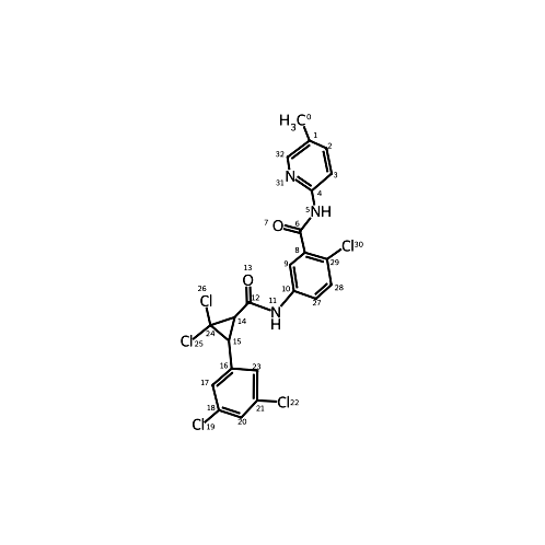 Cc1ccc(NC(=O)c2cc(NC(=O)C3C(c4cc(Cl)cc(Cl)c4)C3(Cl)Cl)ccc2Cl)nc1